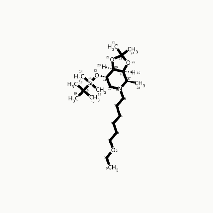 CCOCCCCCCN1C[C@H](O[Si](C)(C)C(C)(C)C)[C@H]2OC(C)(C)O[C@H]2[C@H]1C